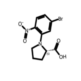 O=C(O)[C@@H]1CCCN1c1cc(Br)ccc1[N+](=O)[O-]